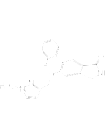 Cn1ccc(COc2cc3c(cc2-c2ccccc2F)C(=O)NC3)n1